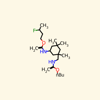 C=C(NCC1(C)CC(NC(=C)OCCC(C)F)CC(C)(C)C1)OCCCC